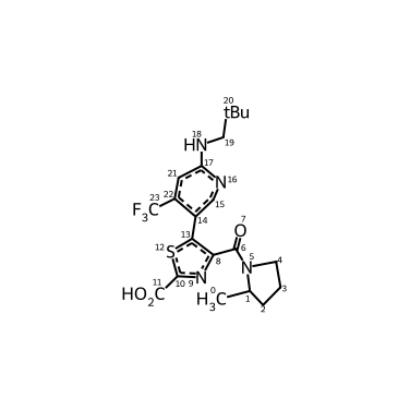 CC1CCCN1C(=O)c1nc(C(=O)O)sc1-c1cnc(NCC(C)(C)C)cc1C(F)(F)F